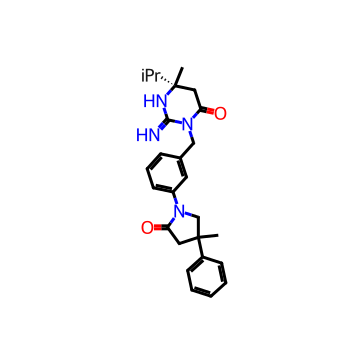 CC(C)[C@]1(C)CC(=O)N(Cc2cccc(N3CC(C)(c4ccccc4)CC3=O)c2)C(=N)N1